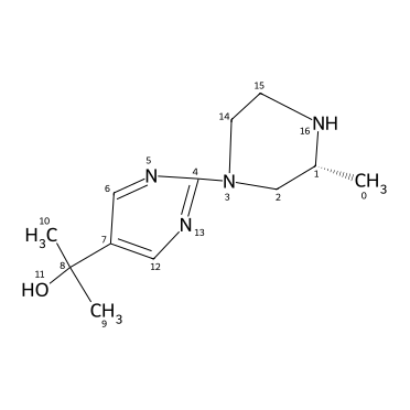 C[C@@H]1CN(c2ncc(C(C)(C)O)cn2)CCN1